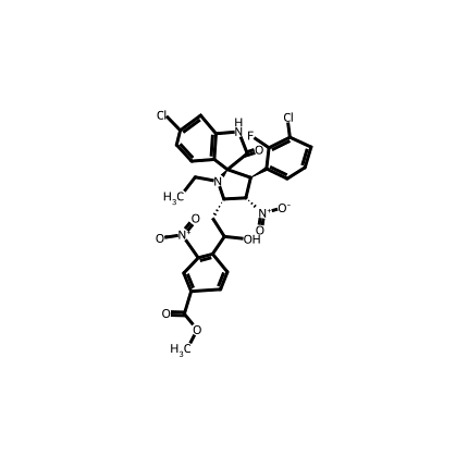 CCN1[C@@H](CC(O)c2ccc(C(=O)OC)cc2[N+](=O)[O-])[C@@H]([N+](=O)[O-])[C@H](c2cccc(Cl)c2F)[C@]12C(=O)Nc1cc(Cl)ccc12